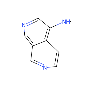 [NH]c1cncc2cnccc12